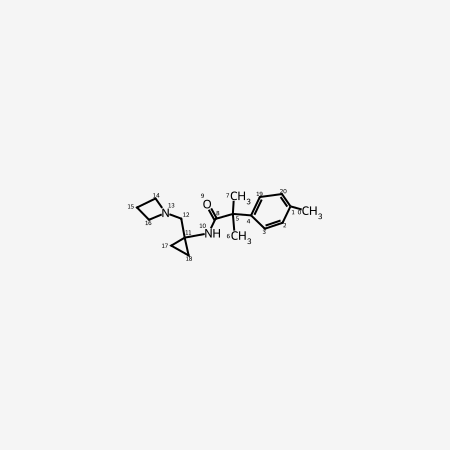 Cc1ccc(C(C)(C)C(=O)NC2(CN3CCC3)CC2)cc1